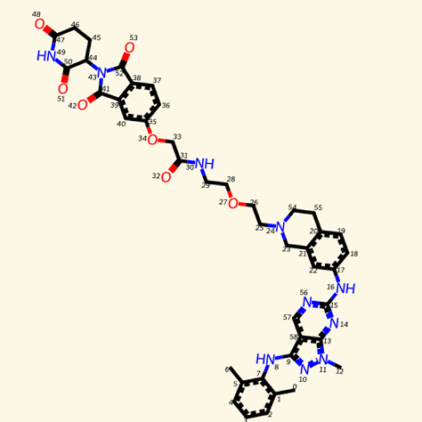 Cc1cccc(C)c1Nc1nn(C)c2nc(Nc3ccc4c(c3)CN(CCOCCNC(=O)COc3ccc5c(c3)C(=O)N(C3CCC(=O)NC3=O)C5=O)CC4)ncc12